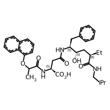 CC[C@H](C[C@H](O)[C@H](Cc1ccccc1)NC(=O)C[C@H](NC(=O)C(C)Oc1cccc2ccccc12)C(=O)O)C(=O)NCC(C)C